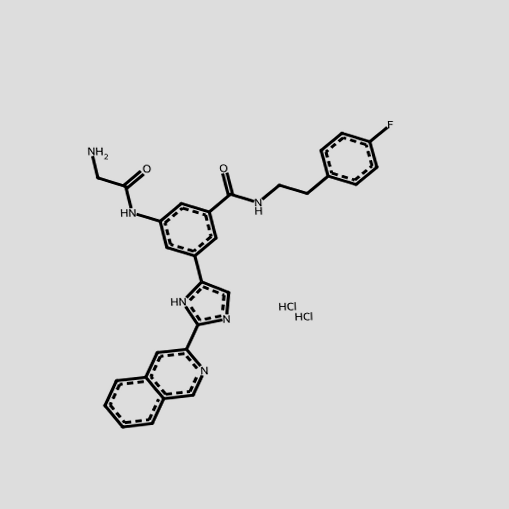 Cl.Cl.NCC(=O)Nc1cc(C(=O)NCCc2ccc(F)cc2)cc(-c2cnc(-c3cc4ccccc4cn3)[nH]2)c1